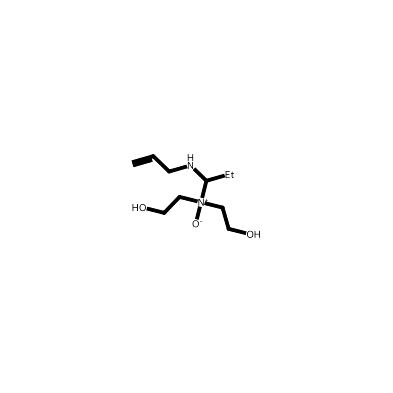 C=CCNC(CC)[N+]([O-])(CCO)CCO